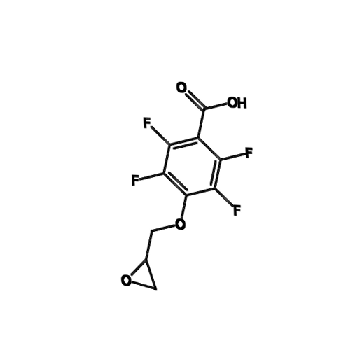 O=C(O)c1c(F)c(F)c(OCC2CO2)c(F)c1F